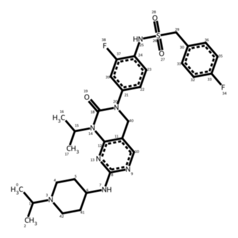 CC(C)N1CCC(Nc2ncc3c(n2)N(C(C)C)C(=O)N(c2ccc(NS(=O)(=O)Cc4ccc(F)cc4)c(F)c2)C3)CC1